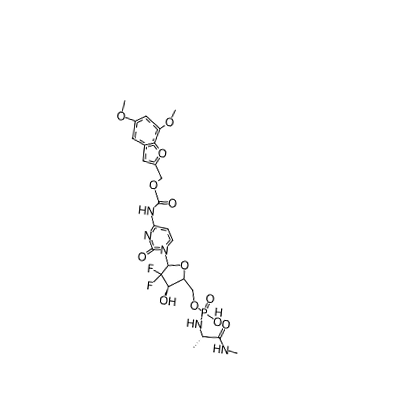 CNC(=O)[C@H](C)NP(=O)(O)OCC1OC(n2ccc(NC(=O)OCc3cc4cc(OC)cc(OC)c4o3)nc2=O)C(F)(F)[C@@H]1O